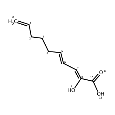 C=CCCCC=CC=C(O)C(=O)O